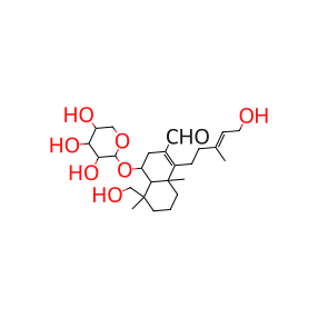 C/C(=C\CO)CCC1=C(C=O)CC(OC2OCC(O)C(O)C2O)C2C(C)(CO)CCCC12C